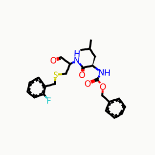 CC(C)C[C@@H](NC(=O)OCc1ccccc1)C(=O)NC(C=O)CSCc1ccccc1F